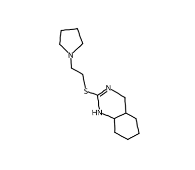 C1CCC2NC(SCCN3CCCC3)=NCC2C1